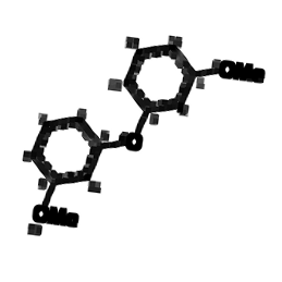 COc1[c]c(Oc2cccc(OC)c2)ccc1